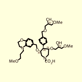 COCCCN1CCOc2ccc(CO[C@H]3CN(C(=O)O)C[C@@H](OC[C@@H](O)COC)[C@@H]3c3ccc(COC[C@@H](C)COC)cc3)cc21